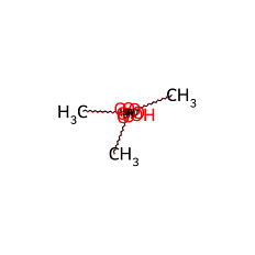 CCCCCCCCCCCCCCCC(=O)O[C@H]1[C@@H]([C@@H](CO)OC(=O)CCCCCCCCCCCCCCC)OC[C@@H]1OC(=O)CCCCCCCCCCCCCCC